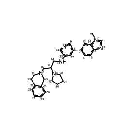 Cn1cnc2ccc(-c3cncc(NCC(CN4CCc5ccccc5C4)N4CCCC4)c3)cc21